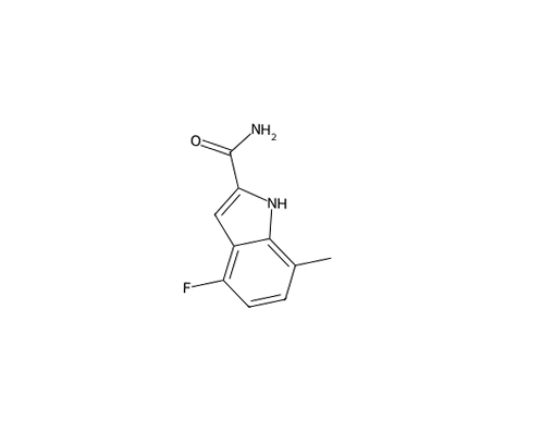 Cc1ccc(F)c2cc(C(N)=O)[nH]c12